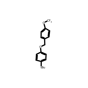 CC(C)(C)c1ccc(OCc2ccc(OC(F)(F)F)cc2)cc1